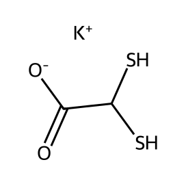 O=C([O-])C(S)S.[K+]